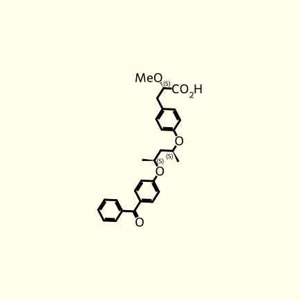 CO[C@@H](Cc1ccc(O[C@@H](C)C[C@H](C)Oc2ccc(C(=O)c3ccccc3)cc2)cc1)C(=O)O